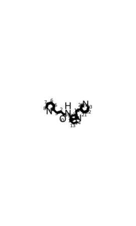 O=C(C=Cc1ccccn1)NC1C2CCN(CC2)C1Cc1cccnc1